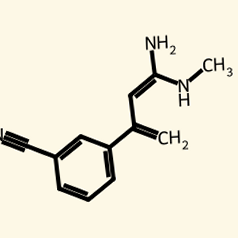 C=C(/C=C(/N)NC)c1cccc(C#N)c1